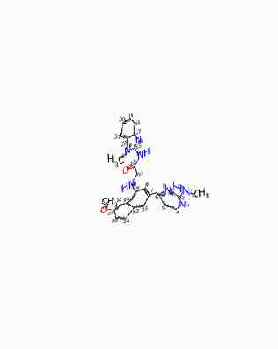 CNc1nccc(-c2cc(NCC(=O)Nc3nc4ccccc4n3C)c3cc(OC)ccc3c2)n1